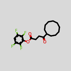 O=C(CCC(=O)C1CCCCCCCCC1)Oc1c(F)c(F)cc(F)c1F